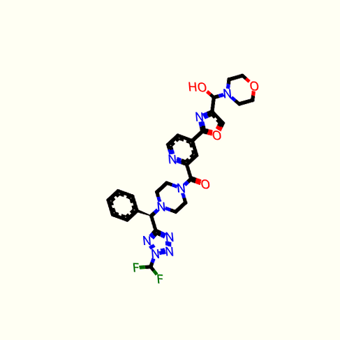 O=C(c1cc(-c2nc(C(O)N3CCOCC3)co2)ccn1)N1CCN([C@H](c2ccccc2)c2nnn(C(F)F)n2)CC1